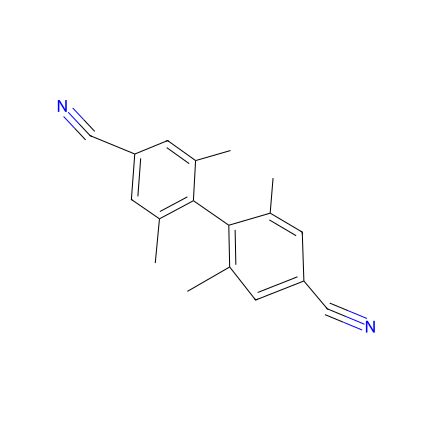 Cc1cc(C#N)cc(C)c1-c1c(C)cc(C#N)cc1C